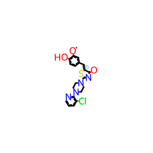 COc1cc(/C=C2\SC(N3CCN(c4ncccc4Cl)CC3)=NC2=O)ccc1O